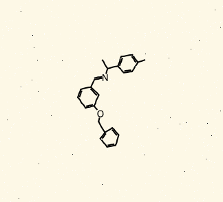 Cc1ccc(C(C)N=Cc2cccc(OCc3ccccc3)c2)cc1